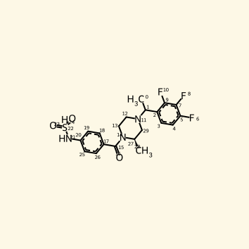 CC(c1ccc(F)c(F)c1F)N1CCN(C(=O)c2ccc(N[SH](=O)=O)cc2)[C@H](C)C1